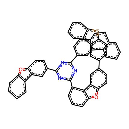 c1ccc2c(c1)ccc1ccc(-c3nc(-c4ccc5oc6ccccc6c5c4)nc(-c4cccc5oc6ccc(-c7ccc8sc9ccccc9c8c7)cc6c45)n3)cc12